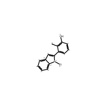 CCn1c(-c2cccc(O)c2C)cc2ccccc21